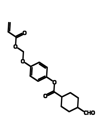 C=CC(=O)OCOc1ccc(OC(=O)C2CCC(C=O)CC2)cc1